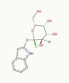 OC[C@H]1O[C@@](Cl)(Oc2cc3ccccc3[nH]2)[C@@](O)(Br)[C@@H](O)[C@H]1O